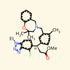 CCn1nnc2c(F)c([C@H](CC(=O)OC)c3ccc(C)c(CN4Cc5ccccc5OC(C)(C)C4)c3)ccc21